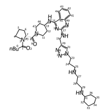 CCCCC(=O)N1CCC[C@@H]1C(=O)N1CCC(Nc2nc(NCc3cn(CCCNCCCNC4CCCCC4)nn3)nc3ccccc23)CC1